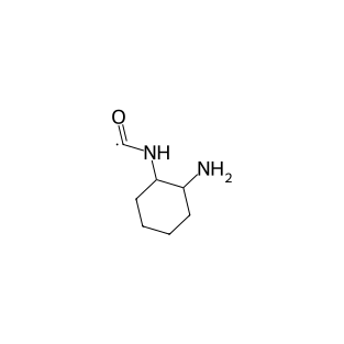 NC1CCCCC1N[C]=O